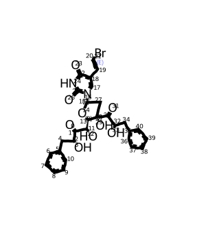 O=C(C(O)Cc1ccccc1)C(O)[C@H]1O[C@@H](n2cc(/C=C/Br)c(=O)[nH]c2=O)C[C@@]1(O)C(=O)C(O)Cc1ccccc1